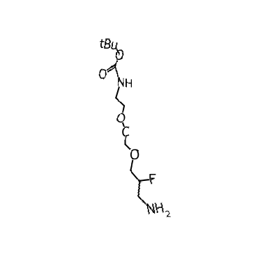 CC(C)(C)OC(=O)NCCOCCOCC(F)CN